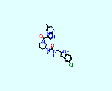 Cc1cnc2ncc(C(=O)N3CCCC(N(C)C(=O)NCc4cc5cc(Cl)ccc5[nH]4)C3)n2c1